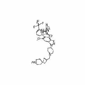 COc1cc2c(cnn2C2CCN(CC3CC4(CCNCC4)C3)CC2)cc1C1(C(N)=O)C=CC=C(C(F)(F)F)N1